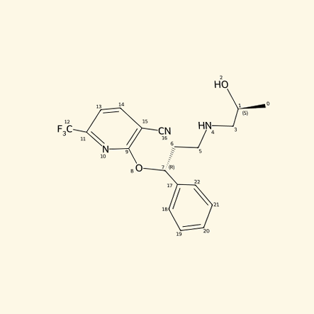 C[C@H](O)CNCC[C@@H](Oc1nc(C(F)(F)F)ccc1C#N)c1ccccc1